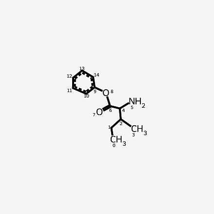 CCC(C)C(N)C(=O)Oc1ccccc1